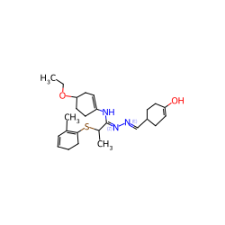 CCOC1CC=C(N/C(=N\N=C\C2CC=C(O)CC2)C(C)SC2=C(C)C=CCC2)CC1